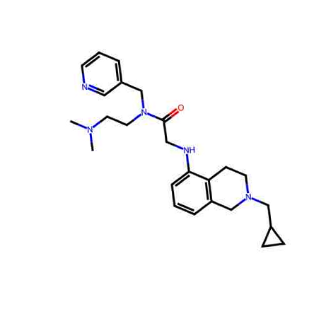 CN(C)CCN(Cc1cccnc1)C(=O)CNc1cccc2c1CCN(CC1CC1)C2